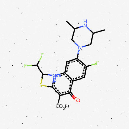 CCOC(=O)c1c2n(c3cc(N4CC(C)NC(C)C4)c(F)cc3c1=O)C(C(F)F)S2